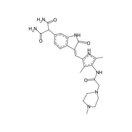 Cc1[nH]c(C=C2C(=O)Nc3cc(C(C(N)=O)C(N)=O)ccc32)c(C)c1NC(=O)CN1CCN(C)CC1